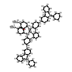 CC(C)(C)c1ccc(N2B3c4c(cccc4-c4cc(-c5ccc6c(c5)c5ccccc5n6-c5ccccc5)ccc4N3c3ccc(C(C)(C)C)cc3)-c3cc(-c4ccc5c(c4)c4ccccc4n5-c4ccccc4)ccc32)cc1